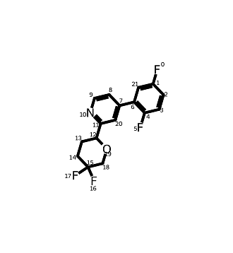 Fc1ccc(F)c(-c2ccnc(C3CCC(F)(F)CO3)c2)c1